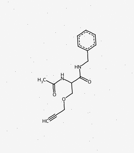 C#CCOCC(NC(C)=O)C(=O)NCc1ccccc1